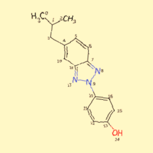 CC(C)Cc1ccc2nn(-c3ccc(O)cc3)nc2c1